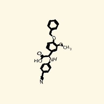 COc1cc([C@@H](Nc2ccc(C#N)cc2)C(=O)O)ccc1OCc1ccccc1